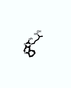 CCCc1nc2cnc3ccccc3c2n1CCCC(C)NO